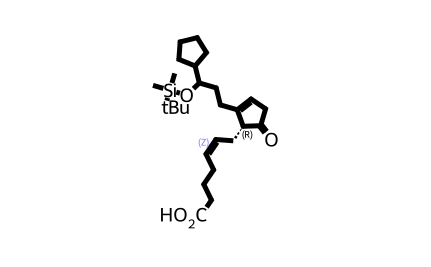 CC(C)(C)[Si](C)(C)OC(CCC1=CCC(=O)[C@@H]1C/C=C\CCCC(=O)O)C1CCCC1